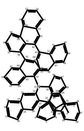 CC1(C)c2ccccc2-c2c(N(c3cc4ccccc4cc3-c3ccc4ccccc4c3)c3ccc(-c4cccc5c4c(-c4cccc6ccccc46)cc4ccccc45)c4ccccc34)cccc21